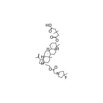 C=C(C)[C@@H]1CC[C@]2(CCOC(=O)CN3CCC(C)(F)CC3)CC[C@]3(C)[C@H](CC[C@@H]4[C@@]5(C)CC[C@H](OC(=O)CC(C)(C)CC(=O)O)C(C)(C)[C@@H]5CC[C@]43C)[C@@H]12